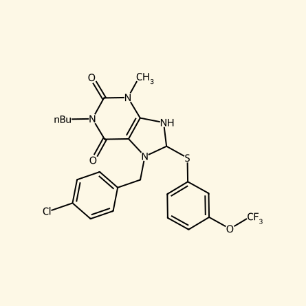 CCCCn1c(=O)c2c(n(C)c1=O)NC(Sc1cccc(OC(F)(F)F)c1)N2Cc1ccc(Cl)cc1